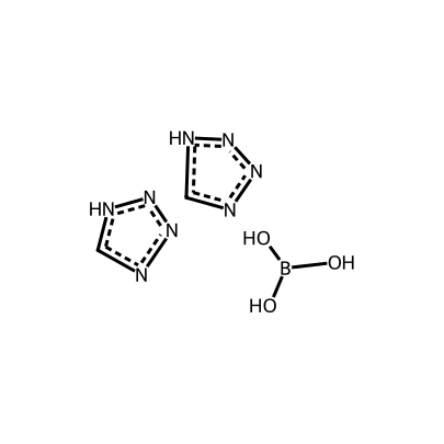 OB(O)O.c1nnn[nH]1.c1nnn[nH]1